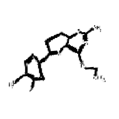 CCOc1nc(N)nc2ccc(-c3ccc(N)c(F)c3)nc12